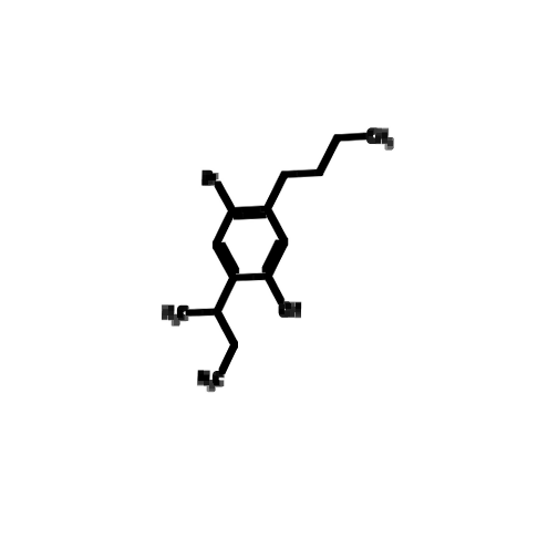 CCCCc1cc(O)c(C(C)CC)cc1Br